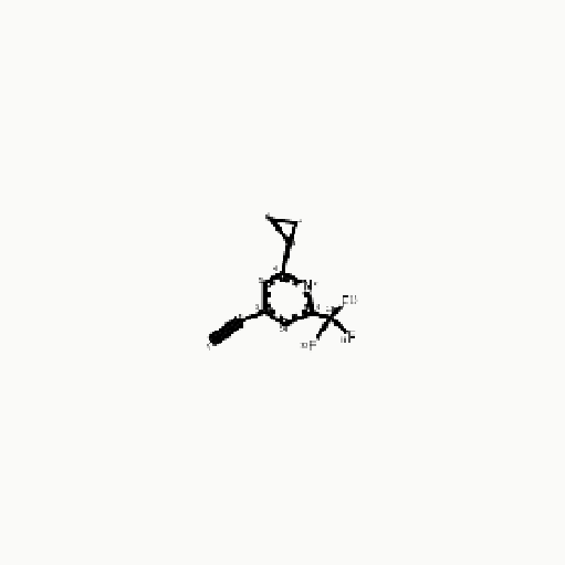 C#Cc1cc(C2CC2)nc(C(F)(F)F)c1